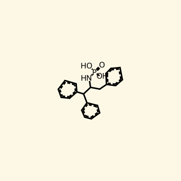 O=P(O)(O)NC(Cc1ccccc1)C(c1ccccc1)c1ccccc1